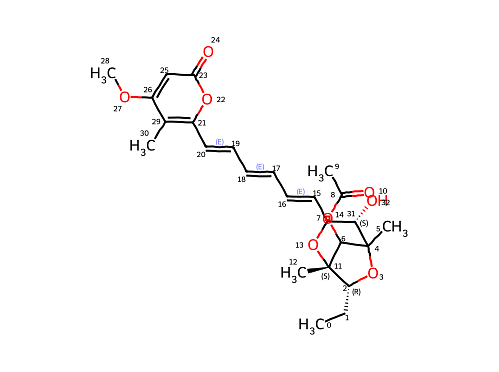 CC[C@H]1OC2(C)C(OC(C)=O)[C@@]1(C)OC(/C=C/C=C/C=C/c1oc(=O)cc(OC)c1C)[C@@H]2O